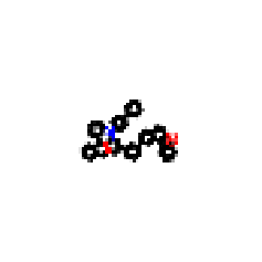 c1ccc(-c2ccc(N(c3cccc(-c4cccc(-c5ccc6ccc7oc8ccccc8c7c6c5)c4)c3)c3ccccc3-c3cccc4ccccc34)cc2)cc1